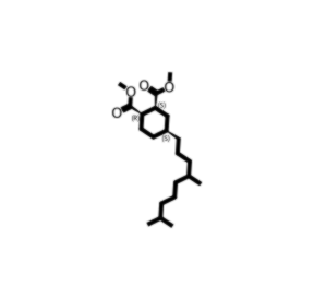 COC(=O)[C@H]1C[C@@H](CCCC(C)CCCC(C)C)CC[C@H]1C(=O)OC